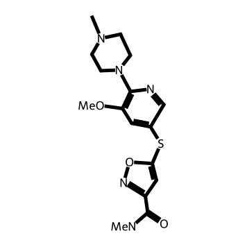 CNC(=O)c1cc(Sc2cnc(N3CCN(C)CC3)c(OC)c2)on1